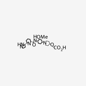 COc1cc(N2CCC(OCC(=O)O)CC2)ccc1NC(=O)c1cccc(-c2ccn[nH]2)n1